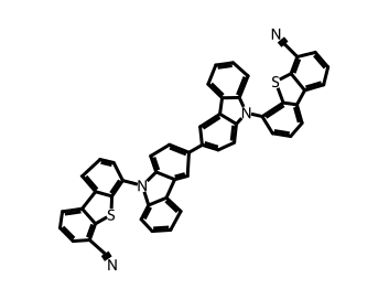 N#Cc1cccc2c1sc1c(-n3c4ccccc4c4cc(-c5ccc6c(c5)c5ccccc5n6-c5cccc6c5sc5c(C#N)cccc56)ccc43)cccc12